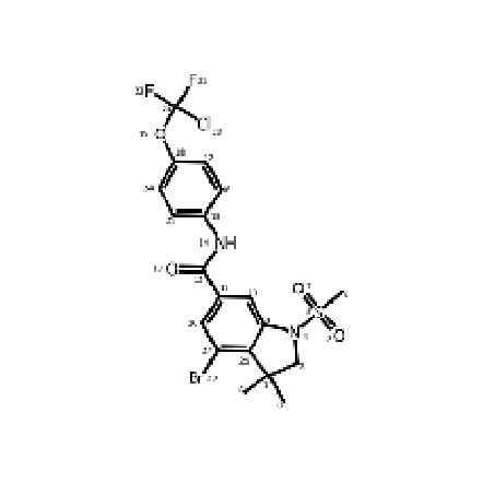 CC1(C)CN(S(C)(=O)=O)c2cc(C(=O)Nc3ccc(OC(F)(F)Cl)cc3)cc(Br)c21